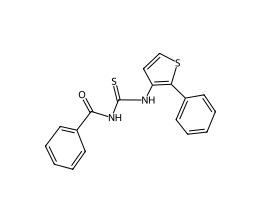 O=C(NC(=S)Nc1ccsc1-c1ccccc1)c1ccccc1